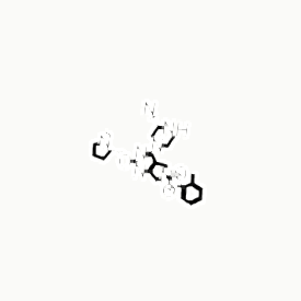 Cc1ccccc1S(=O)(=O)N1Cc2nc(OC[C@@H]3CCCN3C)nc(N3CCN[C@@H](C#N)C3)c2C1